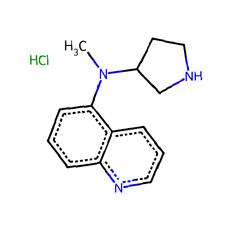 CN(c1cccc2ncccc12)C1CCNC1.Cl